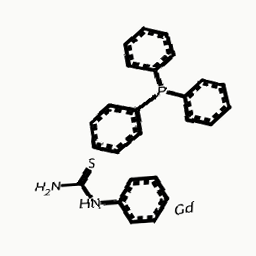 NC(=S)Nc1ccccc1.[Gd].c1ccc(P(c2ccccc2)c2ccccc2)cc1